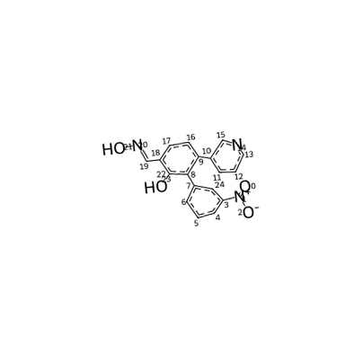 O=[N+]([O-])c1cccc(-c2c(-c3cccnc3)ccc(C=NO)c2O)c1